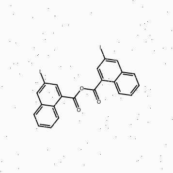 O=C(OC(=O)c1cc(I)cc2ccccc12)c1cc(I)cc2ccccc12